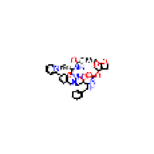 COC(=O)NC(C(=O)NN(Cc1ccc(-c2ccccn2)cc1)CC(O)C(Cc1ccccc1)NC(=O)OC1COC2OCCC12)C(C)(C)C